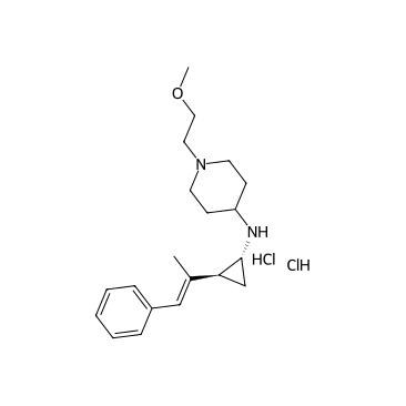 COCCN1CCC(N[C@@H]2C[C@H]2/C(C)=C/c2ccccc2)CC1.Cl.Cl